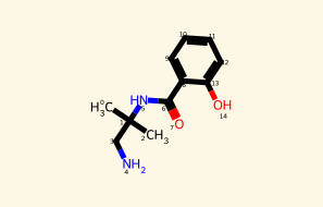 CC(C)(CN)NC(=O)c1ccccc1O